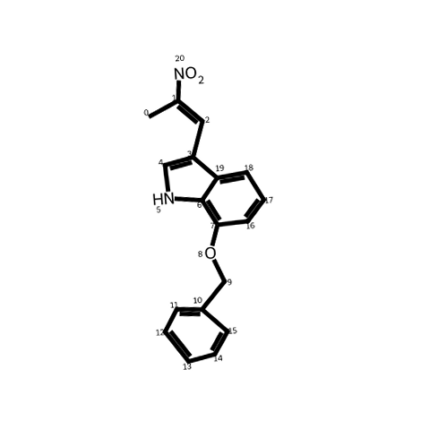 C/C(=C\c1c[nH]c2c(OCc3ccccc3)cccc12)[N+](=O)[O-]